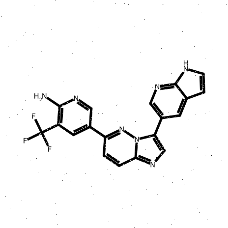 Nc1ncc(-c2ccc3ncc(-c4cnc5[nH]ccc5c4)n3n2)cc1C(F)(F)F